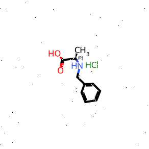 C[C@@H](NCc1ccccc1)C(=O)O.Cl